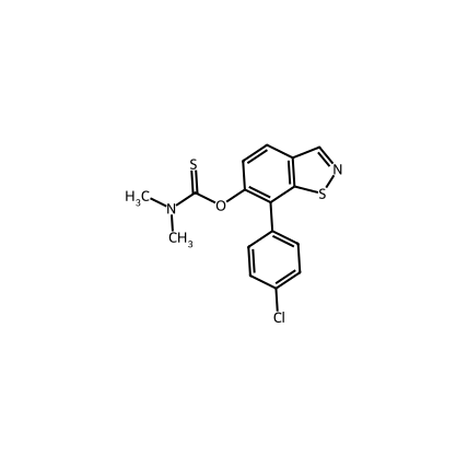 CN(C)C(=S)Oc1ccc2cnsc2c1-c1ccc(Cl)cc1